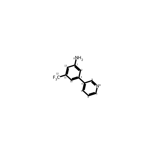 Nc1cc(-c2cccnc2)cc(C(F)(F)F)c1